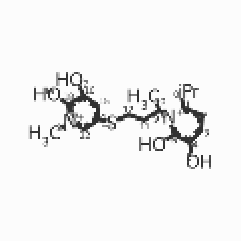 CC(C)c1ccc(O)c(O)[n+]1C(C)CCSc1cc(O)c(O)[n+](C)c1